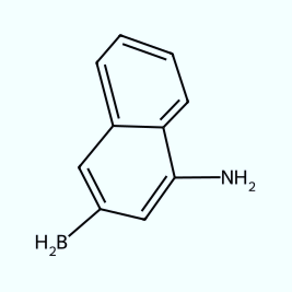 Bc1cc(N)c2ccccc2c1